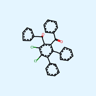 O=C(c1ccccc1)c1c(Cl)c(Cl)c(-c2ccccc2)c(-c2ccccc2)c1C(=O)c1ccccc1